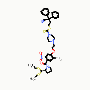 CCSC(SCC)[C@@H]1CCCN1C(=O)c1cc(C)c(OCCN2CCN(C(=S)SCCC(C#N)(c3ccccc3)c3ccccc3)CC2)cc1[N+](=O)[O-]